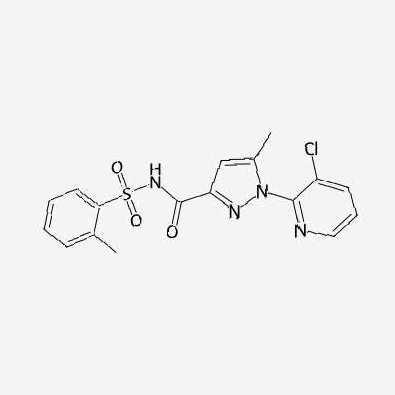 Cc1ccccc1S(=O)(=O)NC(=O)c1cc(C)n(-c2ncccc2Cl)n1